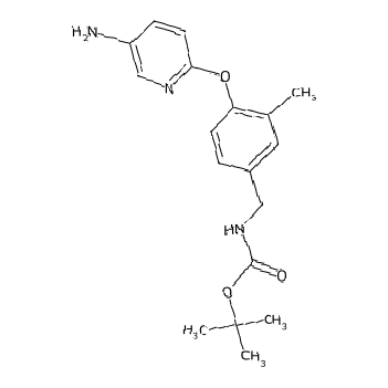 Cc1cc(CNC(=O)OC(C)(C)C)ccc1Oc1ccc(N)cn1